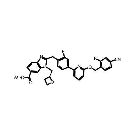 COC(=O)c1ccc2nc(Cc3ccc(-c4cccc(OCc5ccc(C#N)cc5F)n4)cc3F)n(C[C@@H]3CCO3)c2c1